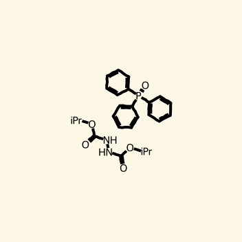 CC(C)OC(=O)NNC(=O)OC(C)C.O=P(c1ccccc1)(c1ccccc1)c1ccccc1